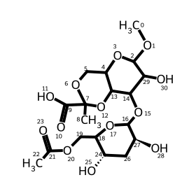 COC1OC2COC(C)(C(=O)O)OC2C(OC2OC(COC(C)=O)[C@@H](O)C[C@@H]2O)C1O